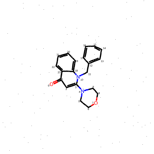 O=c1cc(N2CCOCC2)n(Cc2ccccc2)c2ccccc12